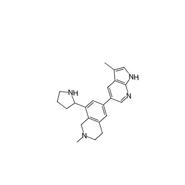 Cc1c[nH]c2ncc(-c3cc4c(c(C5CCCN5)c3)CN(C)CC4)cc12